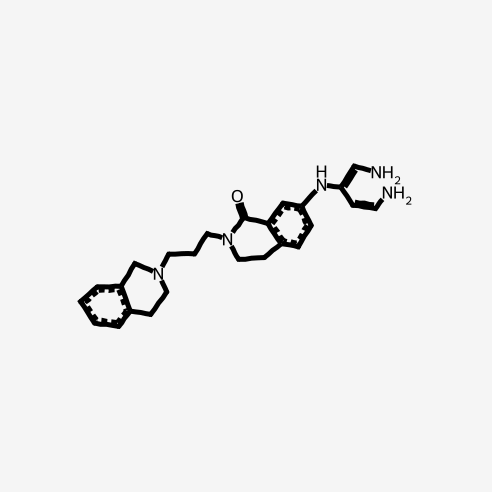 N/C=C\C(=C/N)Nc1ccc2c(c1)C(=O)N(CCCN1CCc3ccccc3C1)CC2